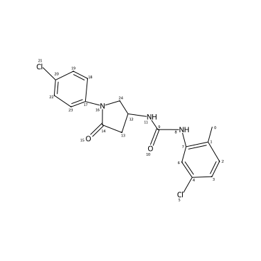 Cc1ccc(Cl)cc1NC(=O)NC1CC(=O)N(c2ccc(Cl)cc2)C1